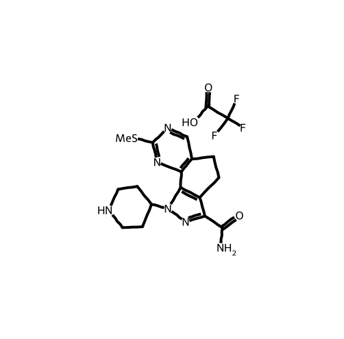 CSc1ncc2c(n1)-c1c(c(C(N)=O)nn1C1CCNCC1)CC2.O=C(O)C(F)(F)F